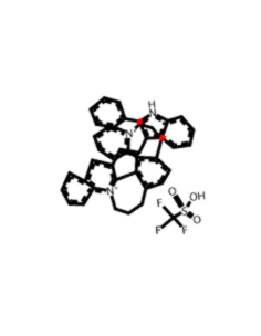 C(=C\c1c(-c2ccccc2)[nH]c2ccccc12)/c1cc2ccccc2[n+]2c1-c1c(ccc3c1-c1cccc[n+]1CCC3)CCC2.O=S(=O)(O)C(F)(F)F